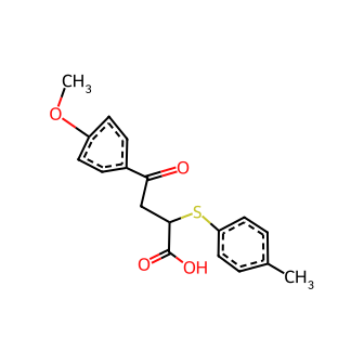 COc1ccc(C(=O)CC(Sc2ccc(C)cc2)C(=O)O)cc1